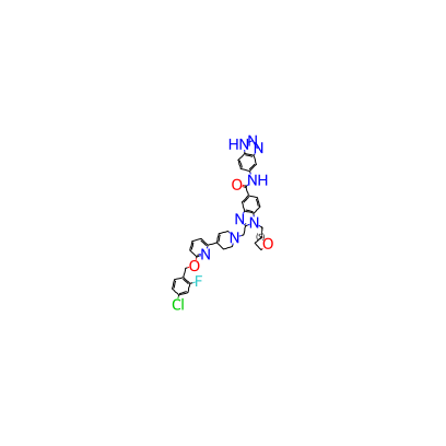 O=C(Nc1ccc2[nH]nnc2c1)c1ccc2c(c1)nc(CN1CC=C(c3cccc(OCc4ccc(Cl)cc4F)n3)CC1)n2C[C@@H]1CCO1